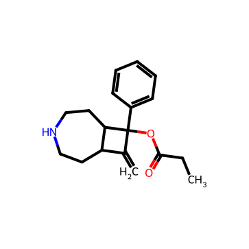 C=C1C2CCNCCC2C1(OC(=O)CC)c1ccccc1